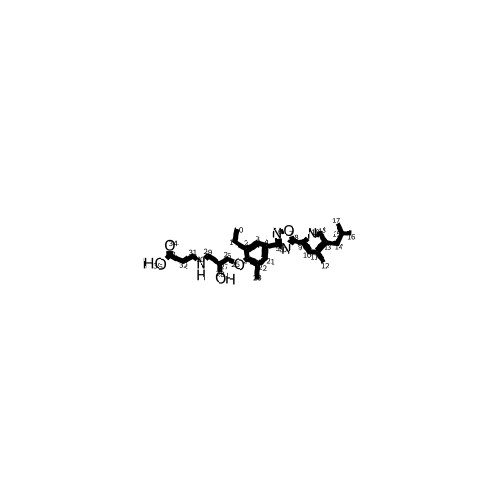 CCc1cc(-c2noc(-c3cc(C)c(CC(C)C)cn3)n2)cc(C)c1OCC(O)CNCCC(=O)O